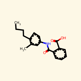 CCCCc1ccc(NC(=O)c2ccccc2C(=O)O)cc1C